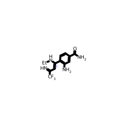 CCN/C(=C\C(=N)C(F)(F)F)c1ccc(C(N)=O)cc1N